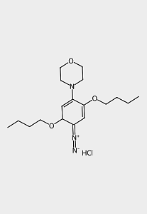 CCCCOC1=CC(=[N+]=[N-])C(OCCCC)C=C1N1CCOCC1.Cl